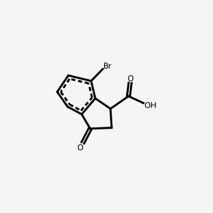 O=C1CC(C(=O)O)c2c(Br)cccc21